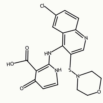 O=C(O)c1c(Nc2c(SN3CCOCC3)cnc3ccc(Cl)cc23)[nH]ccc1=O